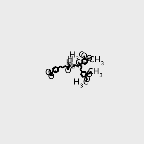 COc1ccc(CC[N+](C)(CCCNC(=O)CCCc2ccc([N+](=O)[O-])cc2)c2ccc(OC)c(OC)c2)cc1OC